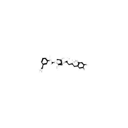 N#Cc1cccc(NC(=O)N2C[C@H]3C[C@@H]2CN3C(=O)C[C@H](N)Cc2cc(F)c(F)cc2F)c1